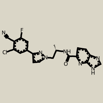 C[C@@H](Cn1ccc(-c2cc(F)c(C#N)c(Cl)c2)n1)NC(=O)c1ccc2nc[nH]c2n1